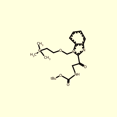 CC(C)(C)OC(=O)NCC(=O)c1nc2ccccc2n1COCC[Si](C)(C)C